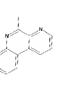 Cc1nc2ccccc2c2cccnc12